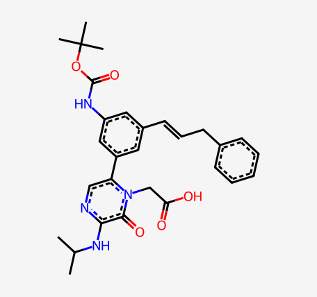 CC(C)Nc1ncc(-c2cc(C=CCc3ccccc3)cc(NC(=O)OC(C)(C)C)c2)n(CC(=O)O)c1=O